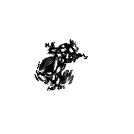 CNCC1=CC[C@@H](N)[C@@H](O[C@H]2[C@H](O[C@@H]3O[C@H](CO)[C@@H](O[C@H]4OC(CN)[C@@H](O)[C@H](O)[C@H]4N)[C@H]3O)[C@@H](O)[C@H](N)C[C@@H]2N)O1